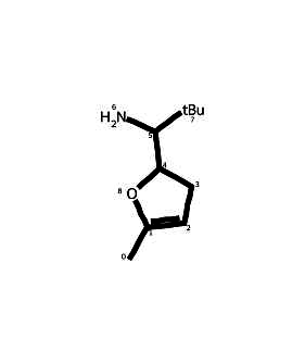 CC1=CCC(C(N)C(C)(C)C)O1